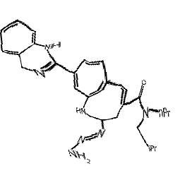 CCCN(CC(C)C)C(=O)C1=Cc2ccc(C3=NCc4ccccc4N3)cc2NC(N=NN)C1